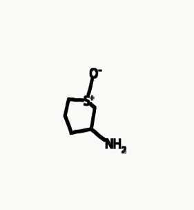 NC1CCC[S+]([O-])C1